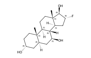 C[C@]12CC[C@@H](O)C[C@@H]1C[C@H](O)[C@@H]1[C@@H]2CC[C@]2(C)[C@@H](O)[C@H](F)C[C@@H]12